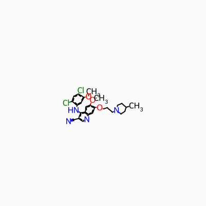 COc1cc(Nc2c(C#N)cnc3cc(OCCCN4CCC(C)CC4)c(OC)cc23)c(Cl)cc1Cl